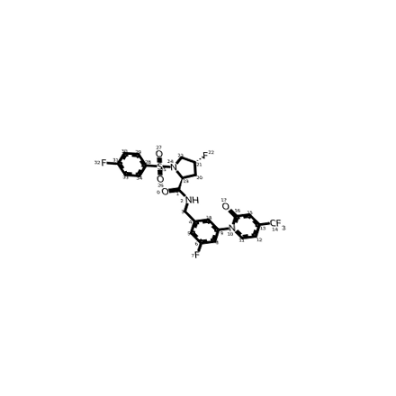 O=C(NCc1cc(F)cc(-n2ccc(C(F)(F)F)cc2=O)c1)[C@@H]1C[C@@H](F)CN1S(=O)(=O)c1ccc(F)cc1